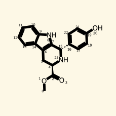 COC(=O)[C@H]1Cc2c([nH]c3ccccc23)[C@H](c2ccc(O)cc2)N1